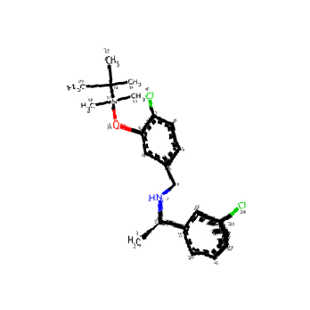 C[C@@H](NCc1ccc(Cl)c(O[Si](C)(C)C(C)(C)C)c1)c1cccc(Cl)c1